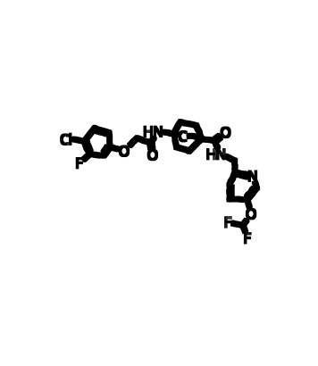 O=C(COc1ccc(Cl)c(F)c1)NC12CCC(C(=O)NCc3ccc(OC(F)F)cn3)(CC1)CC2